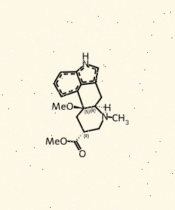 COC(=O)[C@H]1CN(C)[C@@H]2Cc3c[nH]c4cccc(c34)[C@@]2(OC)C1